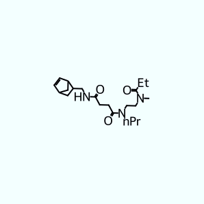 CCCN(CCN(C)C(=O)CC)C(=O)CCC(=O)NCC1CC2C=CC1C2